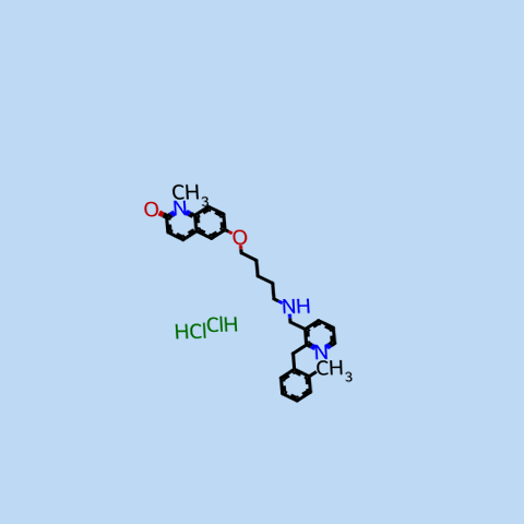 Cc1ccccc1Cc1ncccc1CNCCCCCOc1ccc2c(ccc(=O)n2C)c1.Cl.Cl